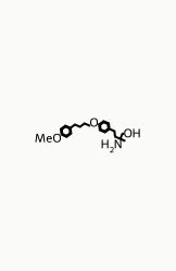 COc1ccc(CCCCOc2ccc(CCC(C)(N)CO)cc2)cc1